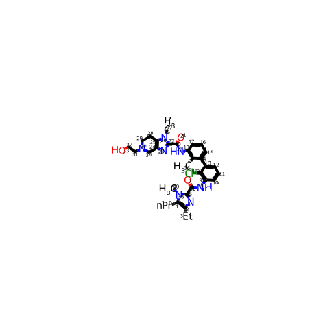 CCCc1c(CC)nc(C(=O)Nc2cccc(-c3cccc(NC(=O)c4nc5c(n4C)CCN(CCO)C5)c3C)c2Cl)n1C